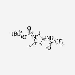 CC1CC(NC(=O)C(F)(F)F)CN1C(=O)OC(C)(C)C